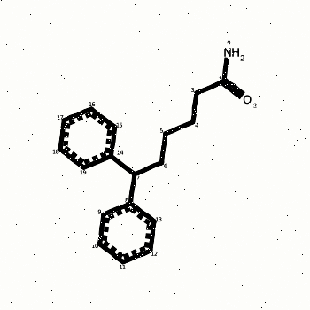 NC(=O)CCCCC(c1ccccc1)c1ccccc1